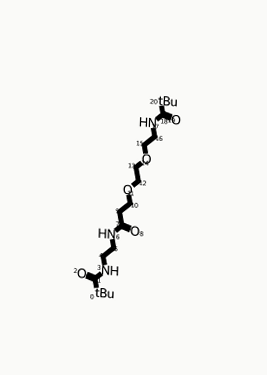 CC(C)(C)C(=O)NCCNC(=O)CCOCCOCCNC(=O)C(C)(C)C